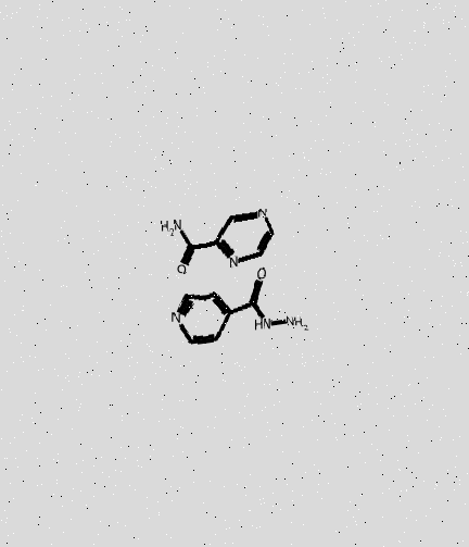 NC(=O)c1cnccn1.NNC(=O)c1ccncc1